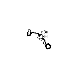 CCCC[C@H](NC(=O)COc1ccccc1)C(=O)CSCc1ccco1